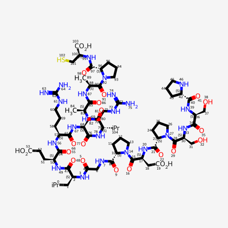 CC(C)C[C@H](NC(=O)CNC(=O)[C@@H]1CCCN1C(=O)[C@H](CC(=O)O)NC(=O)[C@@H]1CCCN1C(=O)[C@H](CO)NC(=O)[C@H](CO)NC(=O)[C@@H]1CCCN1)C(=O)N[C@@H](CCC(=O)O)C(=O)N[C@@H](CCCNC(=N)N)C(=O)N[C@@H](CCCNC(=N)N)C(=O)N[C@H](C(=O)N[C@@H](C)C(=O)N[C@@H](C)C(=O)N1CCC[C@H]1C(=O)N[C@@H](CS)C(=O)O)C(C)C